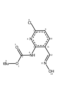 CC(C)(C)OC(=O)Nc1nc(Cl)ccc1/C=N/O